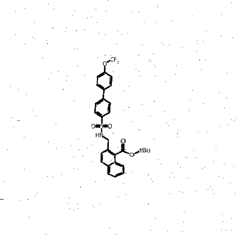 CC(C)(C)OC(=O)c1c(CNS(=O)(=O)c2ccc(-c3ccc(OC(F)(F)F)cc3)cc2)ccc2ccccc12